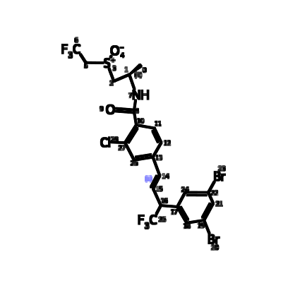 C[C@H](C[S+]([O-])CC(F)(F)F)NC(=O)c1ccc(/C=C/C(c2cc(Br)cc(Br)c2)C(F)(F)F)cc1Cl